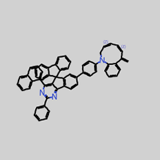 C=C1/C=C\C=C/CN(c2ccc(-c3ccc4c(c3)C3(c5ccccc5-c5ccccc53)c3c-4nc(-c4ccccc4)nc3-c3cccc4ccccc34)cc2)c2ccccc21